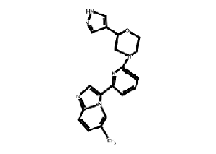 FC(F)(F)c1ccc2ncc(-c3cccc(N4CCOC(c5cn[nH]c5)C4)n3)n2c1